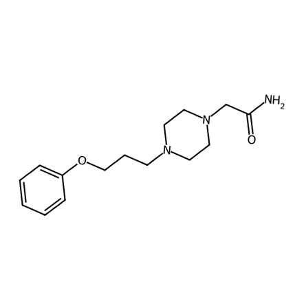 NC(=O)CN1CCN(CCCOc2ccccc2)CC1